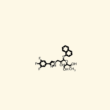 C[C@@H](O)C(CO)OC(Sc1cccc2ccccc12)[C@@H](O)Cn1cc(-c2cc(F)c(F)c(F)c2)nn1